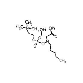 CCCCCN(OP(=O)([O-])OCC[N+](C)(C)C)[C@H](CO)C(=O)O